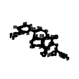 NC(=O)Cn1c(=O)c2ncn3c2n(c1=O)CC=C3c1cccc(C(F)(F)F)c1